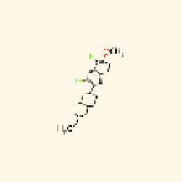 CCC1CCC2CC(c3cc4ccc(OC)c(F)c4cc3F)CCC2C1